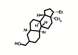 CC[C@H]1CC[C@H]2[C@@H]3CC[C@@H]4CC(CO)CC[C@@H]4[C@H]3CC[C@]12C